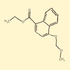 CCOC(=O)c1ccc(OCOC)c2ccccc12